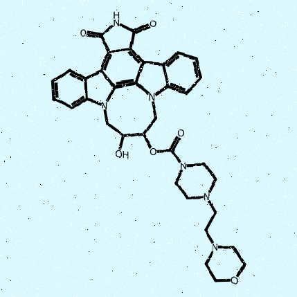 O=C1NC(=O)c2c1c1c3ccccc3n3c1c1c2c2ccccc2n1CC(OC(=O)N1CCN(CCN2CCOCC2)CC1)C(O)C3